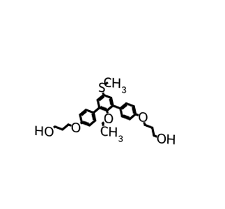 CCOc1c(-c2ccc(OCCCO)cc2)cc(SC)cc1-c1ccc(OCCCO)cc1